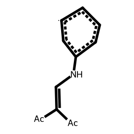 CC(=O)C(=CNc1c[c]ccc1)C(C)=O